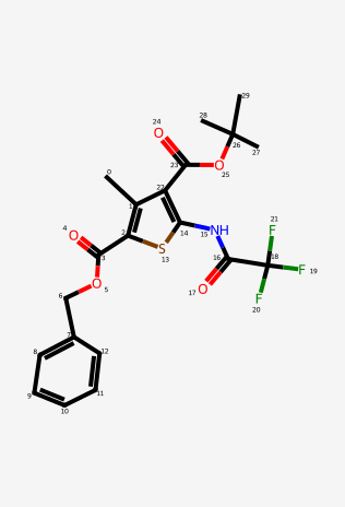 Cc1c(C(=O)OCc2ccccc2)sc(NC(=O)C(F)(F)F)c1C(=O)OC(C)(C)C